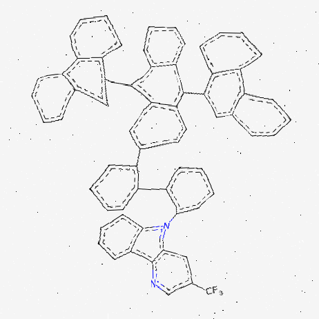 FC(F)(F)c1cnc2c3ccccc3n(-c3ccccc3-c3ccccc3-c3ccc4c(-c5cc6ccccc6c6ccccc56)c5ccccc5c(-c5cc6ccccc6c6ccccc56)c4c3)c2c1